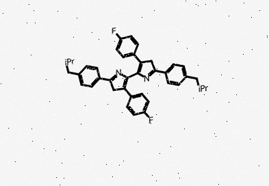 CC(C)Cc1ccc(C2=NC(C3=C(c4ccc(F)cc4)CC(c4ccc(CC(C)C)cc4)=N3)=C(c3ccc(F)cc3)C2)cc1